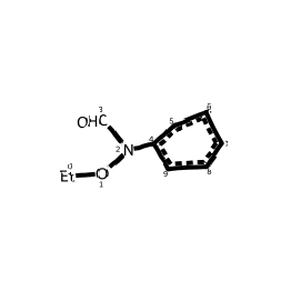 CCON(C=O)c1c[c]ccc1